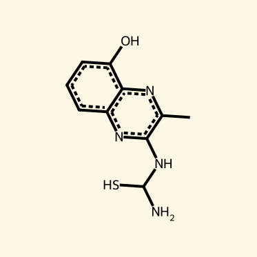 Cc1nc2c(O)cccc2nc1NC(N)S